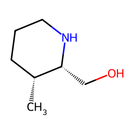 C[C@@H]1CCCN[C@@H]1CO